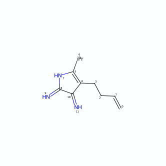 C=CCCC1=C(C(C)C)NC(=N)C1=N